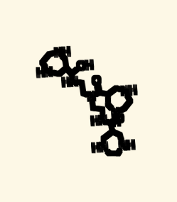 O=C(NCCN(CCNC(O)C1CNCCNC1)C(=O)C1CNCCNC1)C1CNCCNC1